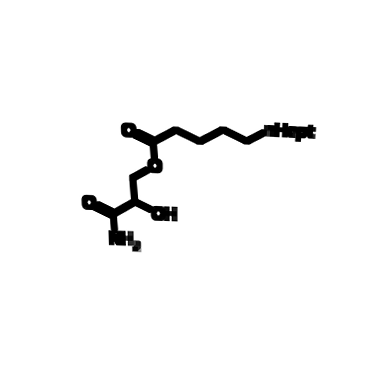 CCCCCCCCCCCC(=O)OCC(O)C(N)=O